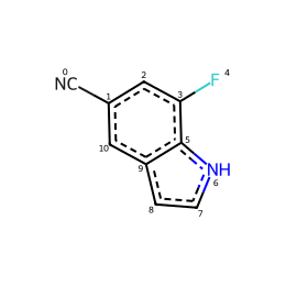 N#Cc1cc(F)c2[nH]ccc2c1